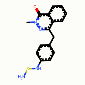 Cn1nc(Cc2ccc(NSN)cc2)c2ccccc2c1=O